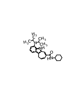 CC(C)N(c1cccc2c3c([nH]c12)C=C(C(=O)NC1CCCCC1)C=CC3)C(C)C